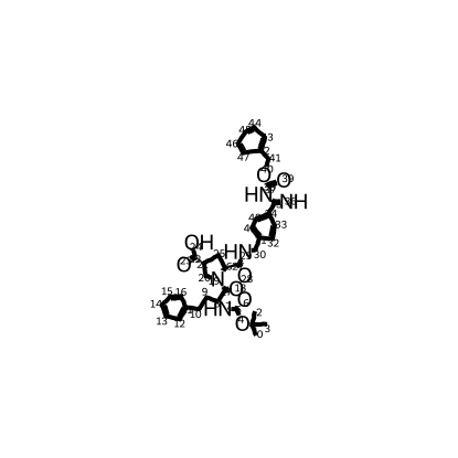 CC(C)(C)OC(=O)NC(CCc1ccccc1)C(=O)N1C[C@H](C(=O)O)C[C@H]1C(=O)NCc1ccc(C(=N)NC(=O)OCc2ccccc2)cc1